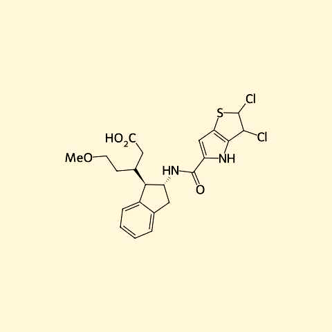 COCCC(CC(=O)O)[C@@H]1c2ccccc2C[C@H]1NC(=O)c1cc2c([nH]1)C(Cl)C(Cl)S2